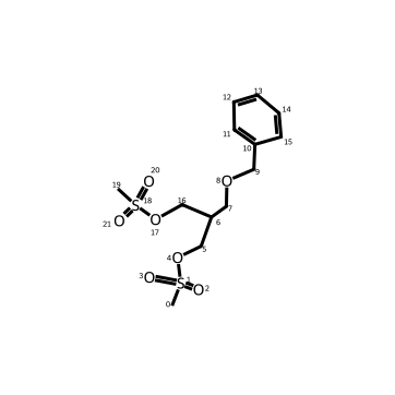 CS(=O)(=O)OCC(COCc1ccccc1)COS(C)(=O)=O